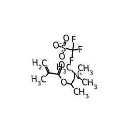 C=C(C)C(=O)OC(C)[N+](C)(C)C.O=S(=O)([O-])C(F)(F)F